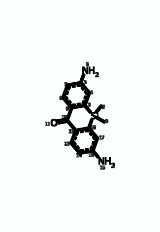 CS1(C)c2cc(N)ccc2C(=O)c2ccc(N)cc21